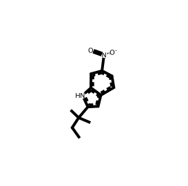 CCC(C)(C)c1cc2ccc([N+](=O)[O-])cc2[nH]1